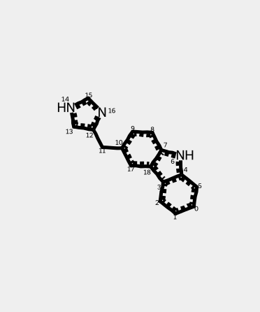 c1ccc2c(c1)[nH]c1ccc(Cc3c[nH]cn3)cc12